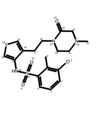 Cc1c(Cl)cccc1S(=O)(=O)Nc1cscc1CCN1CCN(C)CC1=O